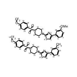 COc1cccc(-c2csc(N3CCN(S(=O)(=O)c4ccc(OC(F)(F)F)cc4)CC3)n2)c1.Cc1cccc(-c2csc(N3CCN(S(=O)(=O)c4ccc(OC(F)(F)F)cc4)CC3)n2)c1